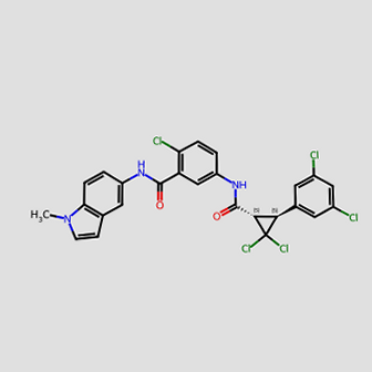 Cn1ccc2cc(NC(=O)c3cc(NC(=O)[C@@H]4[C@@H](c5cc(Cl)cc(Cl)c5)C4(Cl)Cl)ccc3Cl)ccc21